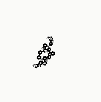 C1=Cc2oc3ccc(N(c4ccc(-c5cc6ccccc6c6ccccc56)cc4)c4cccc5oc6c(c45)CNC=C6c4cccc(-c5cccc(N(c6ccc7oc8c(c7c6)CNC=C8)c6cccc7oc8ccncc8c67)c5)c4)cc3c2CN1